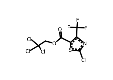 O=C(OCC(Cl)(Cl)Cl)c1sc(Cl)nc1C(F)(F)F